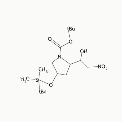 CC(C)(C)OC(=O)N1CC(O[Si](C)(C)C(C)(C)C)CC1C(O)C[N+](=O)[O-]